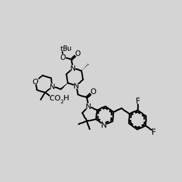 C[C@@H]1CN(CC(=O)N2CC(C)(C)c3ncc(Cc4ccc(F)cc4F)cc32)[C@@H](CN2CCOCC2(C)C(=O)O)CN1C(=O)OC(C)(C)C